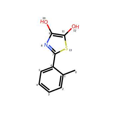 Cc1ccccc1-c1nc(O)c(O)s1